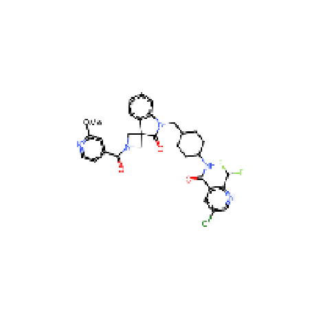 COc1cc(C(=O)N2CC3(C2)C(=O)N(CC2CCC(NC(=O)c4cc(Cl)cnc4C(F)F)CC2)c2ccccc23)ccn1